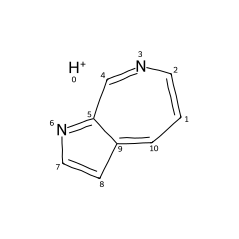 [H+].c1cncc2nccc-2c1